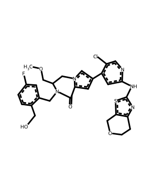 COCC1Cn2cc(-c3cc(Nc4nc5c(s4)COCC5)ncc3Cl)cc2C(=O)N1Cc1cc(F)ccc1CO